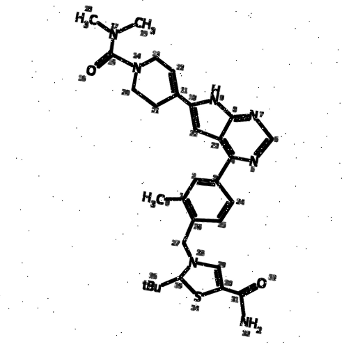 Cc1cc(-c2ncnc3[nH]c(C4=CCN(C(=O)N(C)C)CC4)cc23)ccc1CN1C=C(C(N)=O)SC1C(C)(C)C